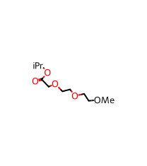 COCCOCCOCC(=O)OC(C)C